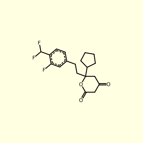 O=C1CC(=O)OC(CCc2ccc(C(F)F)c(F)c2)(C2CCCC2)C1